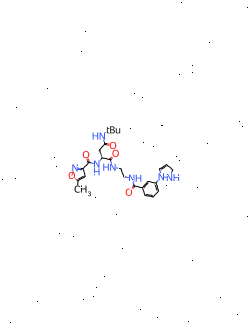 Cc1cc(C(=O)N[C@@H](CC(=O)NC(C)(C)C)C(=O)NCCNC(=O)c2cccc(N3C=CCN3)c2)no1